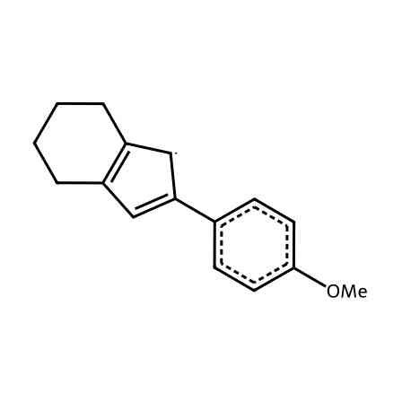 COc1ccc(C2=CC3=C([CH]2)CCCC3)cc1